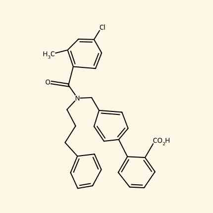 Cc1cc(Cl)ccc1C(=O)N(CCCc1ccccc1)Cc1ccc(-c2ccccc2C(=O)O)cc1